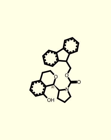 O=C(OCC1c2ccccc2-c2ccccc21)N1CCCC1[C@@H]1OCCc2cccc(O)c21